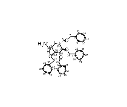 NNC1C[C@H](COCc2ccccc2)[C@@H](OCc2ccccc2)[C@H](OCc2ccccc2)[C@H]1OCc1ccccc1